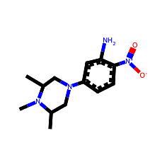 CC1CN(c2ccc([N+](=O)[O-])c(N)c2)CC(C)N1C